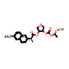 COc1ccc2cc([C@H](C)C(=O)OC3COCC3OC(=O)OC(C)ON=O)ccc2c1